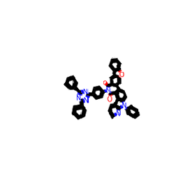 O=c1c2cc3c(cc2c2ccc4c(c5cccnc5n4-c4ccccc4)c2c(=O)n1-c1ccc(-c2nc(-c4ccccc4)nc(-c4ccccc4)n2)cc1)oc1ccccc13